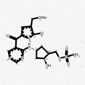 COCc1cc(C(=O)c2cncnc2N[C@@H]2CC(COS(N)(=O)=O)[C@@H](O)C2)sc1Cl